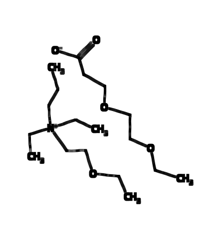 CCC[N+](CC)(CC)CCOCC.CCOCCOCCC(=O)[O-]